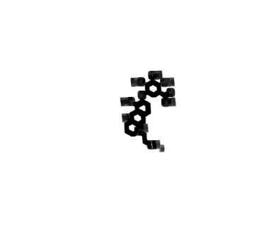 CCCN1CCC[C@@H]2Cc3c(ccc(O[C@@H]4C[C@H](C(=O)O)[C@@H](O)[C@H](O)[C@H]4O)c3O)C[C@H]21